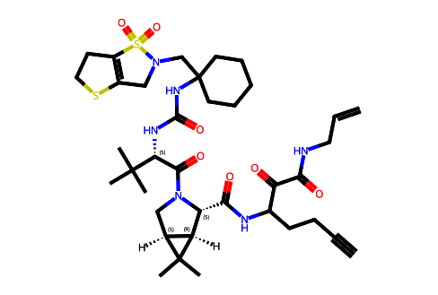 C#CCCC(NC(=O)[C@@H]1[C@@H]2[C@H](CN1C(=O)[C@@H](NC(=O)NC1(CN3CC4=C(CCS4)S3(=O)=O)CCCCC1)C(C)(C)C)C2(C)C)C(=O)C(=O)NCC=C